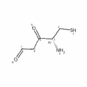 N[C@@H](CS)C(=O)[CH]C=O